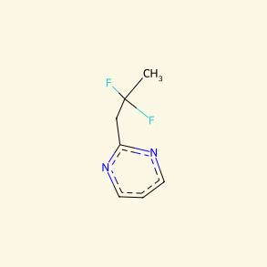 CC(F)(F)Cc1ncccn1